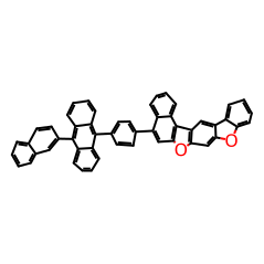 c1ccc2cc(-c3c4ccccc4c(-c4ccc(-c5cc6oc7cc8oc9ccccc9c8cc7c6c6ccccc56)cc4)c4ccccc34)ccc2c1